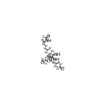 CC1(CNC2=C(C(=N)C(=O)NCc3ccc(Cl)cc3)CCC(CCC[C@H]3CCC(=O)N3)C2)COC1